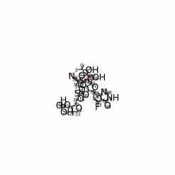 CC(C)[Si](O)(O[Si](O[C@H]1[C@@H](OP(=S)(OCCC#N)OCC2OCCC2O[PH](=O)O)[C@H](n2cc(F)c3c(=O)[nH]cnc32)O[C@@H]1CO)(C(C)C)C(C)C)C(C)C